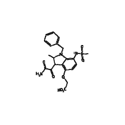 CC1C(C(=O)C(N)=O)c2c(OCC(=O)O)ccc(NS(C)(=O)=O)c2N1Cc1ccccc1